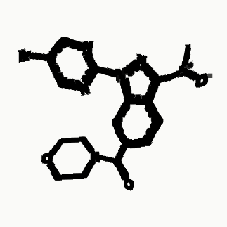 C[S+]([O-])c1nn(-c2ncc(Br)cn2)c2cc(C(=O)N3CCOCC3)ccc12